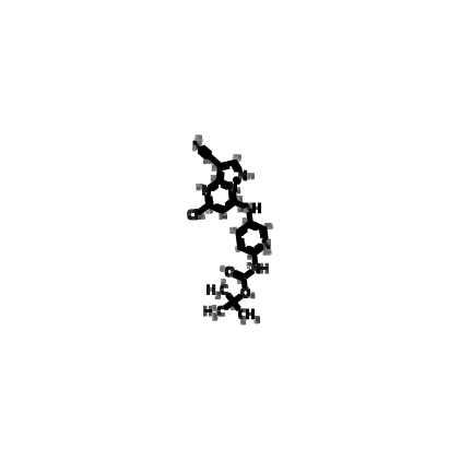 CC(C)(C)OC(=O)Nc1ccc(Nc2cc(Cl)nc3c(C#N)cnn23)cn1